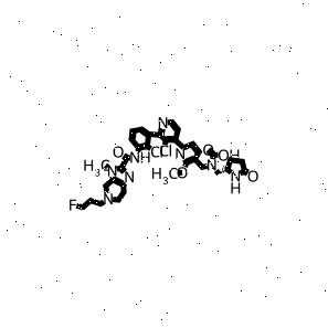 COc1nc(-c2ccnc(-c3cccc(NC(=O)c4nc5c(n4C)CN(CCCF)CC5)c3Cl)c2Cl)ccc1CN(C[C@@H]1CCC(=O)N1)C(=O)O